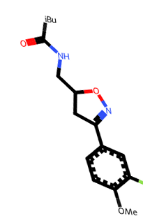 CCC(C)C(=O)NCC1CC(c2ccc(OC)c(F)c2)=NO1